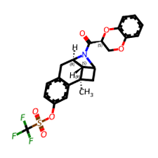 C[C@@]12CC3[C@H]1[C@@H](Cc1ccc(OS(=O)(=O)C(F)(F)F)cc12)N3C(=O)[C@@H]1COc2ccccc2O1